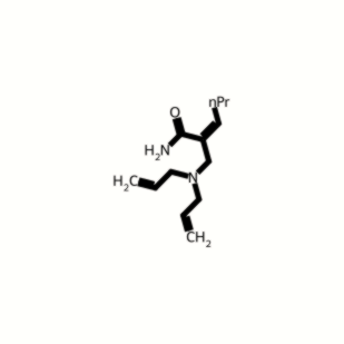 C=CCN(CC=C)CC(=CCCC)C(N)=O